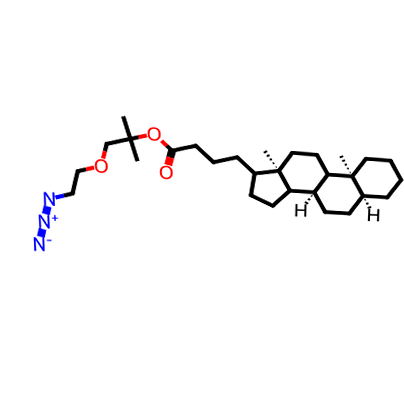 CC(C)(COCCN=[N+]=[N-])OC(=O)CCCC1CCC2[C@@H]3CC[C@@H]4CCCC[C@]4(C)C3CC[C@]12C